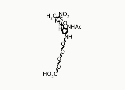 CC(=O)Nc1cc(NCCOCCOCCOCCOCCC(=O)O)ccc1C(=O)Nc1nc(C)c([N+](=O)[O-])s1